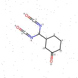 O=C=NC(N=C=O)C1CCCC(=O)C1